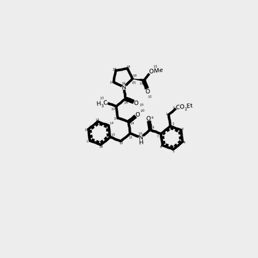 CCOC(=O)Cc1ccccc1C(=O)NC(Cc1ccccc1)C(=O)CC(C)C(=O)N1CCC[C@H]1C(=O)OC